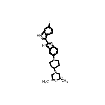 C[C@@H]1CN(C2CCN(c3ccc4nc(-c5n[nH]c6cc(F)ccc56)[nH]c4c3)CC2)C[C@H](C)O1